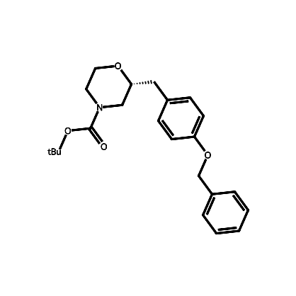 CC(C)(C)OC(=O)N1CCO[C@H](Cc2ccc(OCc3ccccc3)cc2)C1